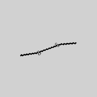 CCCCCCCCCCCCCOC(=O)CCCCCCCCCCCCC(=O)OCCCCCCCCCCCCC